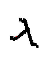 CCCCCCCCCCCCCCCC(CCCCCCCCCCCCCCC)O/N=C/CCOCCOC